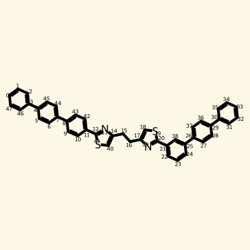 c1ccc(-c2ccc(-c3ccc(-c4nc(CCc5csc(-c6cccc(-c7ccc(-c8ccccc8)cc7)c6)n5)cs4)cc3)cc2)cc1